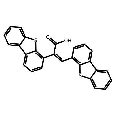 O=C(O)C(=Cc1cccc2c1sc1ccccc12)c1cccc2c1sc1ccccc12